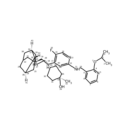 CC(C)Oc1ncccc1CNc1ncc(F)c(NC[C@]23CC4C[C@H](C2)[C@@H](NC[C@H]2CC[C@](C)(O)CC2)[C@@H](C4)C3)n1